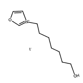 OCCCCCCC[n+]1ccoc1.[I-]